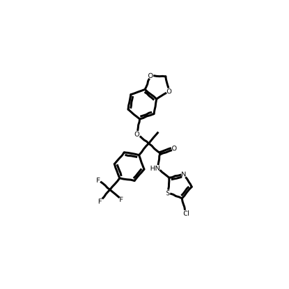 CC(Oc1ccc2c(c1)OCO2)(C(=O)Nc1ncc(Cl)s1)c1ccc(C(F)(F)F)cc1